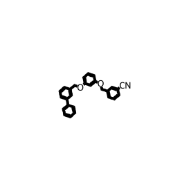 N#Cc1cccc(COc2cccc(OCc3cccc(-c4ccccc4)c3)c2)c1